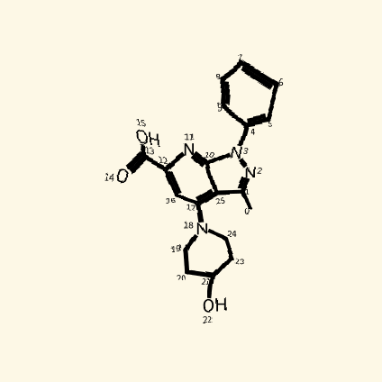 Cc1nn(-c2ccccc2)c2nc(C(=O)O)cc(N3CCC(O)CC3)c12